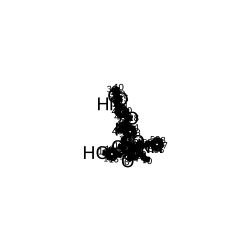 C=CCN1CC(=O)N2[C@@H](Cc3ccc(O)cc3)C(=O)N(Cc3cccc4c(C(=O)N5CCC(NC(=O)OC(C)(C)C)CC5)cn(C)c34)C[C@@H]2N1C(=O)NCc1ccccc1